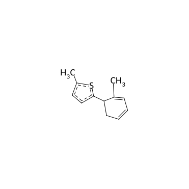 CC1=CC=CCC1c1ccc(C)s1